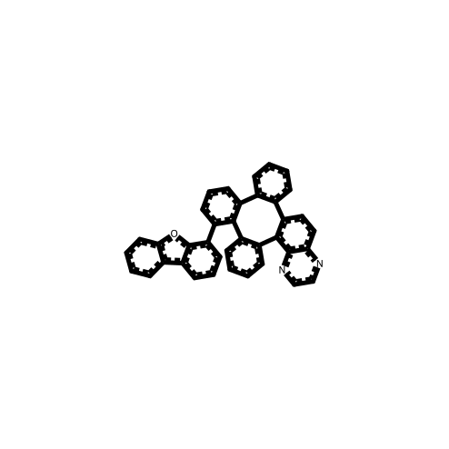 c1ccc2c(c1)-c1cccc(-c3cccc4c3oc3ccccc34)c1-c1ccccc1-c1c-2ccc2nccnc12